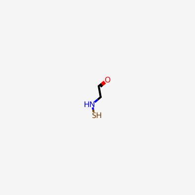 O=CCNS